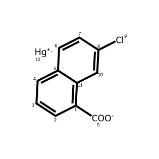 O=C([O-])c1cccc2ccc(Cl)cc12.[Hg+]